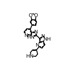 C1=C(c2ccc3[nH]nc(-c4nc5c(-c6ccc7c(c6)OCO7)ccnc5[nH]4)c3n2)CCNC1